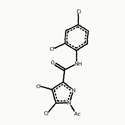 CC(=O)n1nc(C(=O)Nc2ccc(Cl)cc2Cl)c(Cl)c1Cl